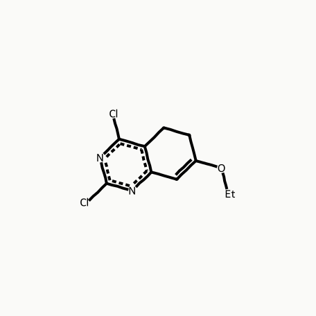 CCOC1=Cc2nc(Cl)nc(Cl)c2CC1